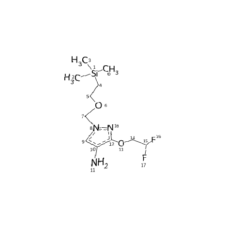 C[Si](C)(C)CCOCn1cc(N)c(OCC(F)F)n1